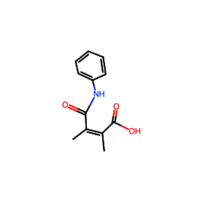 CC(C(=O)O)=C(C)C(=O)Nc1ccccc1